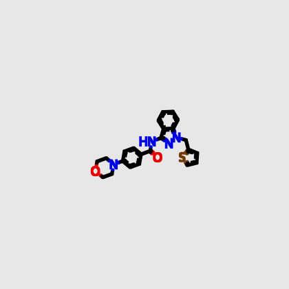 O=C(Nc1nn(Cc2cccs2)c2ccccc12)c1ccc(N2CCOCC2)cc1